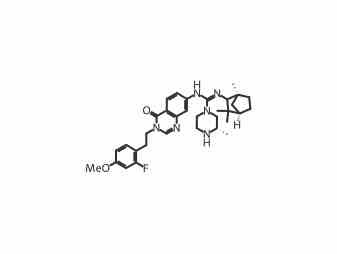 COc1ccc(CCn2cnc3cc(N/C(=N/C4C(C)(C)[C@@H]5CC[C@@]4(C)C5)N4CCN[C@@H](C)C4)ccc3c2=O)c(F)c1